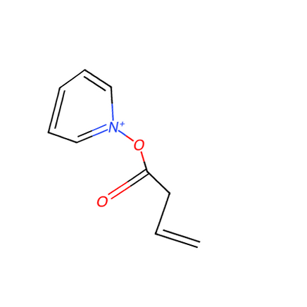 C=CCC(=O)O[n+]1ccccc1